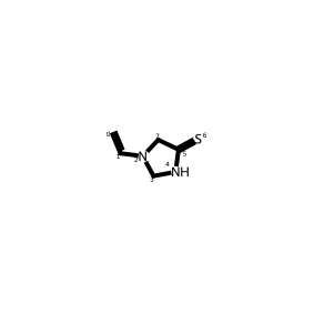 C=CN1CNC(=S)C1